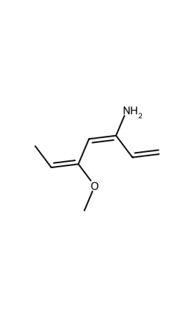 C=C/C(N)=C\C(=C/C)OC